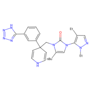 CCCCc1cn(-c2c(CC)cnn2CC)c(=O)n1CC1(c2cccc(-c3nnn[nH]3)c2)C=CNC=C1